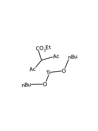 CCCC[O][Ti][O]CCCC.CCOC(=O)C(C(C)=O)C(C)=O